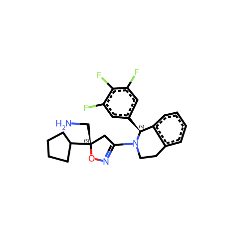 NC[C@@]1(C2CCCC2)CC(N2CCc3ccccc3[C@@H]2c2cc(F)c(F)c(F)c2)=NO1